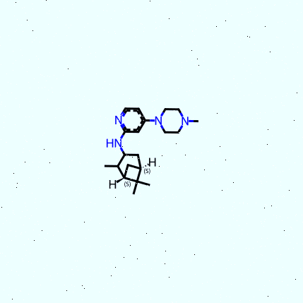 CC1C(Nc2cc(N3CCN(C)CC3)ccn2)C[C@@H]2C[C@@H]1C2(C)C